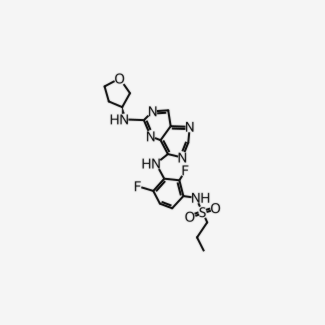 CCCS(=O)(=O)Nc1ccc(F)c(Nc2ncnc3cnc(N[C@H]4CCOC4)nc23)c1F